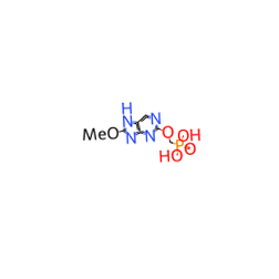 COc1nc2nc(OCP(=O)(O)O)ncc2[nH]1